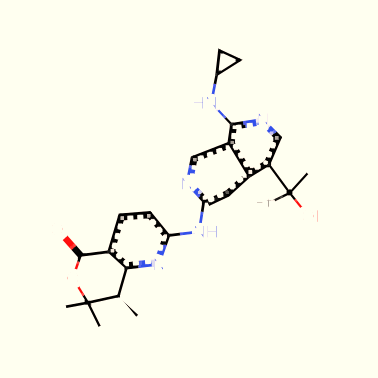 CCC(C)(O)c1cnc(NC2CC2)c2cnc(Nc3ccc4c(n3)[C@@H](C)C(C)(C)OC4=O)cc12